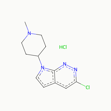 CN1CCC(n2ccc3cc(Cl)nnc32)CC1.Cl